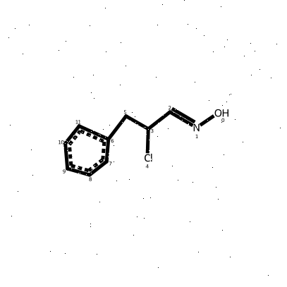 ON=CC(Cl)Cc1ccccc1